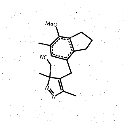 COc1c(C)cc(CC2=C(C)N=NC2(C)CC#N)c2c1CCC2